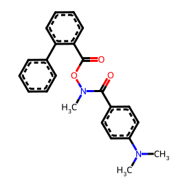 CN(OC(=O)c1ccccc1-c1ccccc1)C(=O)c1ccc(N(C)C)cc1